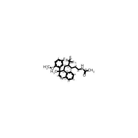 COc1ccc(F)cc1C1(C)C=Nc2ccccc2C1CC(CCCNC(C)=O)C(F)(F)F